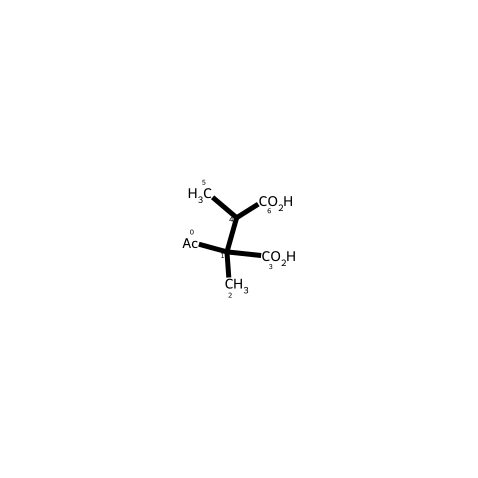 CC(=O)C(C)(C(=O)O)C(C)C(=O)O